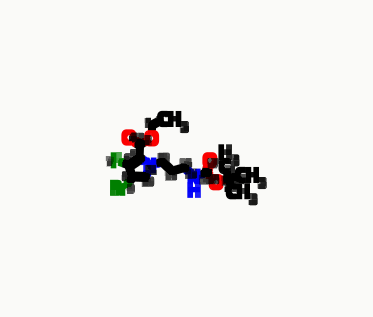 CCOC(=O)c1c(F)c(Br)cn1CCCNC(=O)OC(C)(C)C